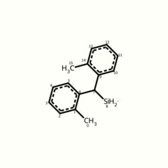 Cc1ccccc1C([SiH2])c1ccccc1C